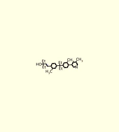 CCC(O)(/C=C/c1ccc(C(CC)(CC)c2ccc(-c3cncc(C)c3)c(C)c2)cc1C)CC